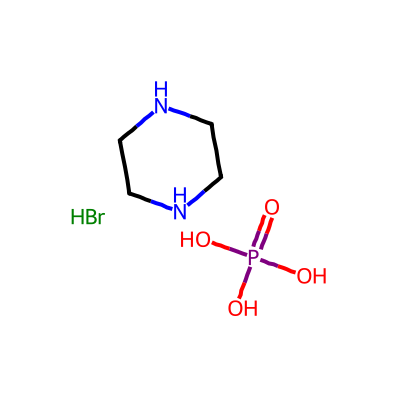 Br.C1CNCCN1.O=P(O)(O)O